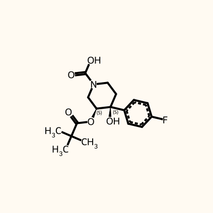 CC(C)(C)C(=O)O[C@H]1CN(C(=O)O)CC[C@]1(O)c1ccc(F)cc1